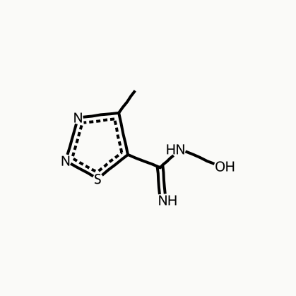 Cc1nnsc1C(=N)NO